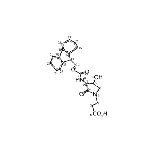 O=C(O)CCN1CC(O)[C@H](NC(=O)OCC2c3ccccc3-c3ccccc32)C1=O